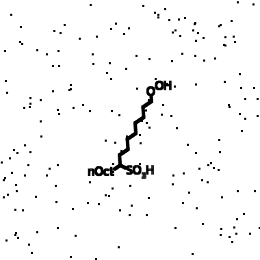 CCCCCCCCC(CCCCCCCCOO)S(=O)(=O)O